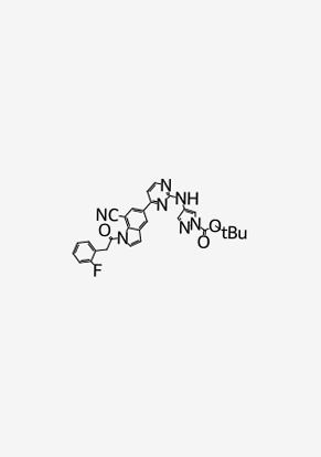 CC(C)(C)OC(=O)n1cc(Nc2nccc(-c3cc(C#N)c4c(ccn4C(=O)Cc4ccccc4F)c3)n2)cn1